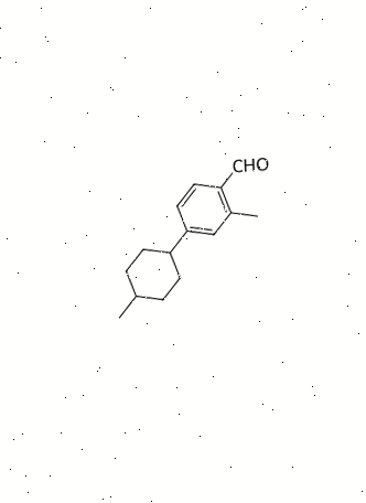 Cc1cc(C2CCC(C)CC2)ccc1C=O